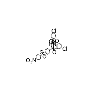 O=C(Nc1ccc(S(=O)(=O)c2ccc([N+](=O)[O-])cc2)cc1)c1cc(Cl)ccc1NS(=O)(=O)c1ccc(Cl)cc1